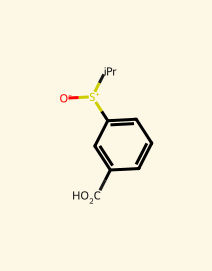 CC(C)[S+]([O-])c1cccc(C(=O)O)c1